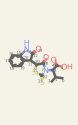 CC(C)C(C(=O)O)N1C(=O)C(C2C(=O)Nc3ccccc32)SC1=S